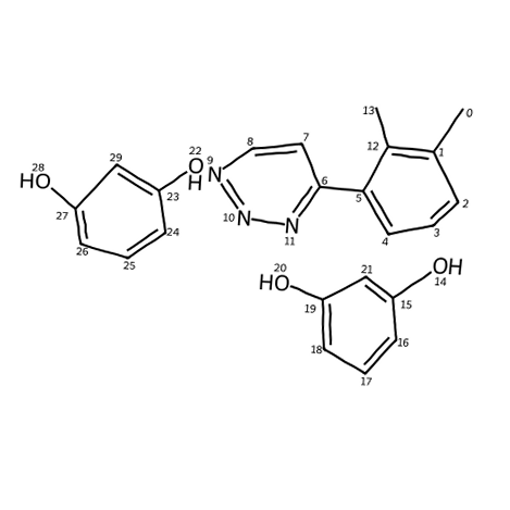 Cc1cccc(-c2ccnnn2)c1C.Oc1cccc(O)c1.Oc1cccc(O)c1